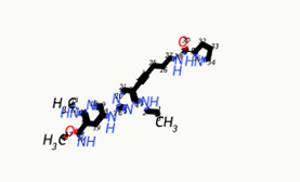 CCCNc1nc(Nc2cnc(NC)c(C(=N)OC)c2)ncc1C#CCCCNC(=O)[C@@H]1CCCN1